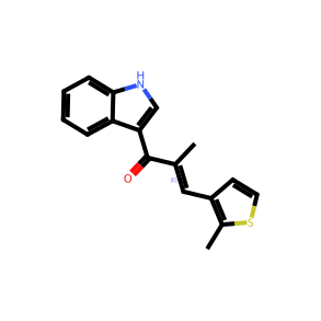 C/C(=C\c1ccsc1C)C(=O)c1c[nH]c2ccccc12